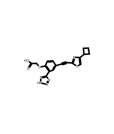 O=C(O)COc1ccc(C#Cc2nc(C3CCC3)cs2)cc1-c1nn[nH]n1